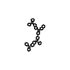 c1ccc(N(c2ccccc2)c2ccc3cc(N(c4ccccc4)c4ccc(-c5ccc(N(c6ccc7ccccc7c6)c6ccc7cc(N(c8ccccc8)c8ccccc8)ccc7c6)cc5)cc4)ccc3c2)cc1